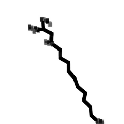 CCCCCCCCCCCNCC(C)N